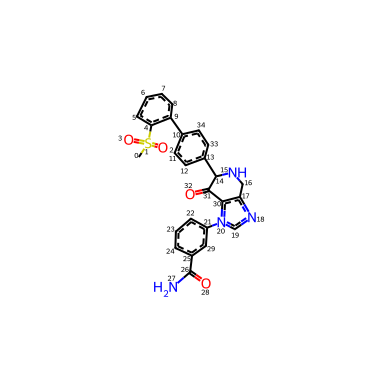 CS(=O)(=O)c1ccccc1-c1ccc(C2NCc3ncn(-c4cccc(C(N)=O)c4)c3C2=O)cc1